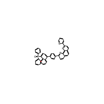 O=P(c1ccccc1)(c1ccccc1)c1ccc(-c2ccc(-c3ccc4ccc5ccc(-c6ccccn6)nc5c4n3)cc2)c2ccccc12